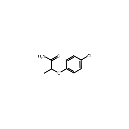 CC(Oc1ccc(Cl)cc1)C(N)=O